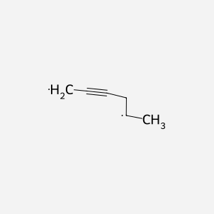 [CH2]C#CC[CH]C